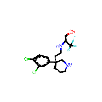 OCC(NCC[C@]1(c2ccc(Cl)c(Cl)c2)CCCNC1)C(F)(F)F